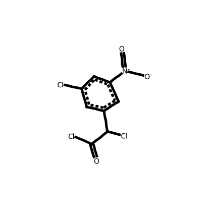 O=C(Cl)C(Cl)c1cc(Cl)cc([N+](=O)[O-])c1